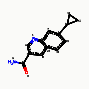 NC(=O)c1cnc2cc(C3CC3)ccc2c1